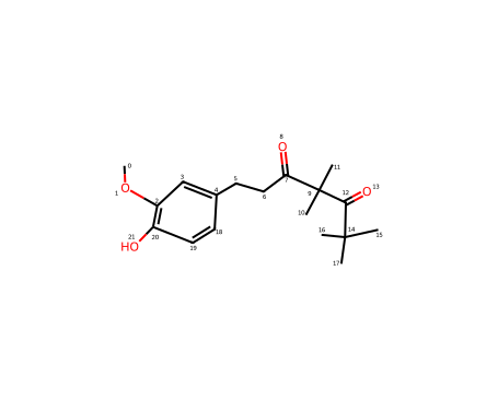 COc1cc(CCC(=O)C(C)(C)C(=O)C(C)(C)C)ccc1O